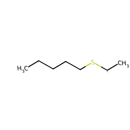 C[CH]SCCCCC